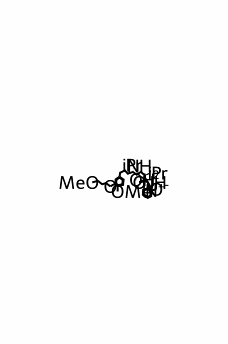 COCCCOc1cc(C[C@@H](C[C@H](N)[C@@H](O)C[C@H](C(=O)Nc2cccc[n+]2[O-])C(C)C)C(C)C)ccc1OC